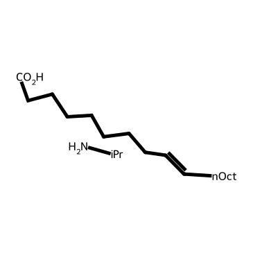 CC(C)N.CCCCCCCCC=CCCCCCCCC(=O)O